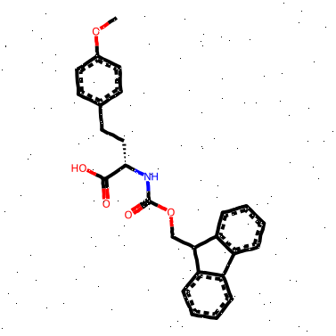 COc1ccc(CC[C@H](NC(=O)OCC2c3ccccc3-c3ccccc32)C(=O)O)cc1